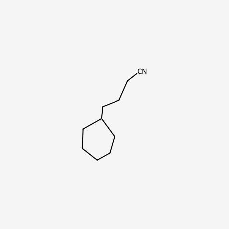 N#CCCCC1CCCCC1